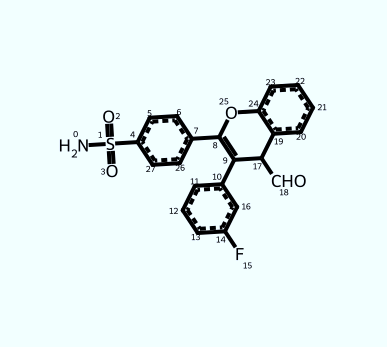 NS(=O)(=O)c1ccc(C2=C(c3cccc(F)c3)C(C=O)c3ccccc3O2)cc1